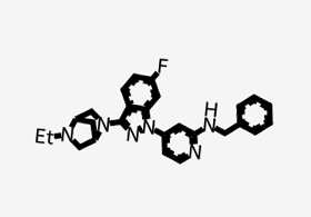 CCN1CC2CC1CN2c1nn(-c2ccnc(NCc3ccccc3)c2)c2cc(F)ccc12